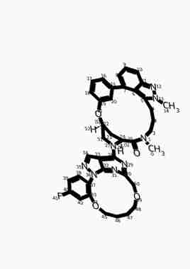 CN1CCCc2c3c(cccc3nn2C)-c2cccc(c2)O[C@H]2C[C@@H](C1=O)N(c1nc3nc4c1cnn4-c1ccc(F)cc1OCCCCOC3)C2